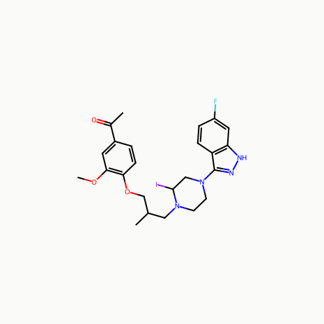 COc1cc(C(C)=O)ccc1OCC(C)CN1CCN(c2n[nH]c3cc(F)ccc23)CC1I